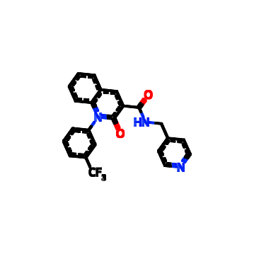 O=C(NCc1ccncc1)c1cc2ccccc2n(-c2cccc(C(F)(F)F)c2)c1=O